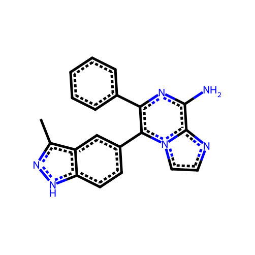 Cc1n[nH]c2ccc(-c3c(-c4ccccc4)nc(N)c4nccn34)cc12